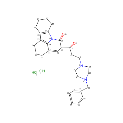 Cl.Cl.O=C(CCN1CCN(Cc2ccccc2)CC1)C1C=C2CCCc3c4c(n(c32)C1=O)CCCC4